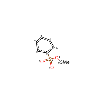 CSOS(=O)(=O)c1ccccc1